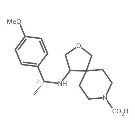 COc1ccc([C@@H](C)NC2COCC23CCN(C(=O)O)CC3)cc1